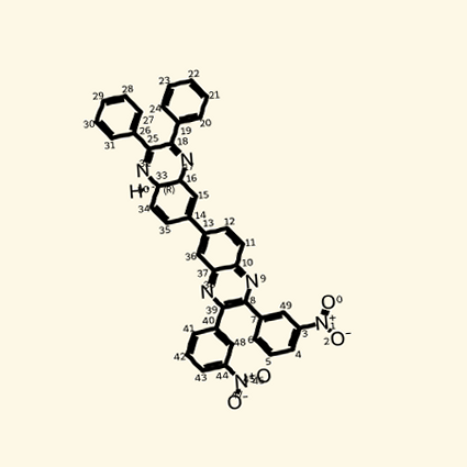 O=[N+]([O-])c1cccc(-c2nc3ccc(C4=CC5N=C(c6ccccc6)C(c6ccccc6)=N[C@@H]5C=C4)cc3nc2-c2cccc([N+](=O)[O-])c2)c1